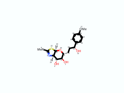 CNC1=N[C@@H]2[C@@H](O)[C@H](O)[C@@H](CC[C@@H](O)c3ccc(OC)cc3)O[C@@H]2S1